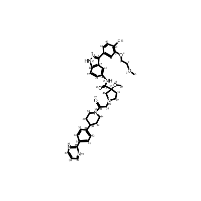 COCCOc1cc(-c2n[nH]c3ccc(NC(=O)[C@]4(OC)CCN(CC(=O)N5CCC(c6ccc(-c7ncccn7)cc6)CC5)C4)cc23)ccc1F